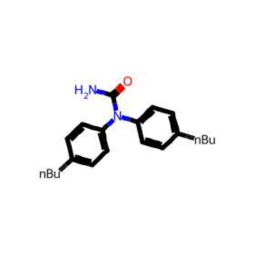 CCCCc1ccc(N(C(N)=O)c2ccc(CCCC)cc2)cc1